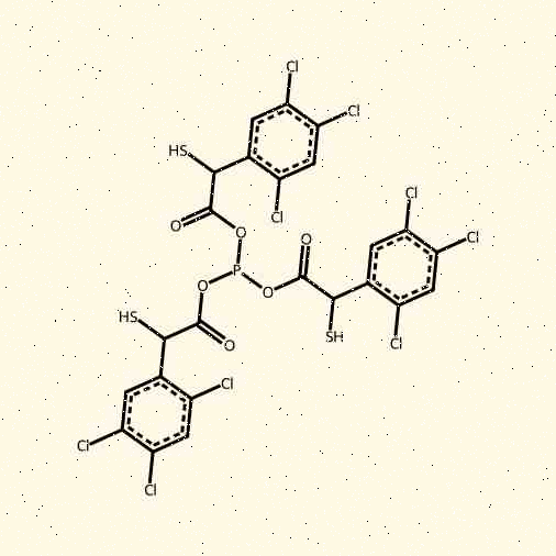 O=C(OP(OC(=O)C(S)c1cc(Cl)c(Cl)cc1Cl)OC(=O)C(S)c1cc(Cl)c(Cl)cc1Cl)C(S)c1cc(Cl)c(Cl)cc1Cl